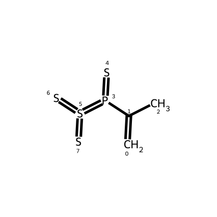 C=C(C)P(=S)=S(=S)=S